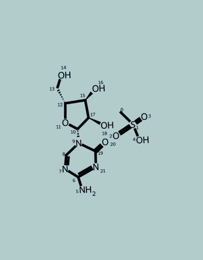 CS(=O)(=O)O.Nc1ncn([C@@H]2O[C@H](CO)[C@@H](O)[C@H]2O)c(=O)n1